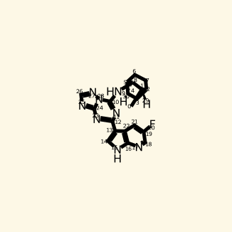 C[C@H]1C2CCC(CC2)[C@@H]1Nc1nc(-c2c[nH]c3ncc(F)cc23)nc2ncnn12